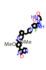 COc1cc(-c2cn(C)c(=O)c3cnccc23)cc(OC)c1CN1CCc2c(CC3CCN(c4ccc5c(N6CCC(=O)NC6=O)n[nH]c5c4F)CC3)cccc2C1